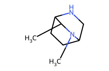 CC1C2CCC(CN2)N1C